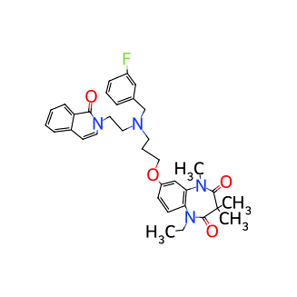 CCN1C(=O)C(C)(C)C(=O)N(C)c2cc(OCCCN(CCn3ccc4ccccc4c3=O)Cc3cccc(F)c3)ccc21